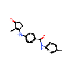 CC1=C(Nc2ccc(C(=O)Nc3ccc(C)cc3)cc2)CCC1=O